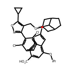 CC(C)Oc1cc(C(=O)O)cc2sc(NC3C4CCC3CC(OCc3c(-c5c(Cl)cccc5Cl)noc3C3CC3)C4)cc12